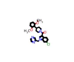 COc1cccc(OC)c1C1CCN(C(=O)c2cn(Cc3cnccn3)c3cc(Cl)ccc23)CC1